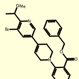 COC(C)c1ncc(C2=CCN(c3ccccc3C(=O)OCc3ccccc3)CC2)cc1Br